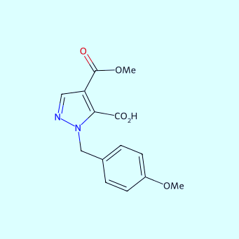 COC(=O)c1cnn(Cc2ccc(OC)cc2)c1C(=O)O